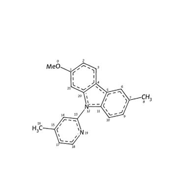 COc1ccc2c3cc(C)ccc3n(-c3cc(C)ccn3)c2c1